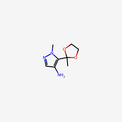 Cn1ncc(N)c1C1(C)OCCO1